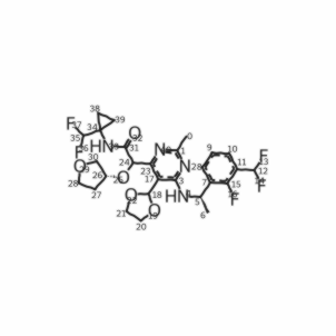 Cc1nc(N[C@H](C)c2cccc(C(F)F)c2F)c(C2OCCO2)c(C(O[C@@H]2CCOC2)C(=O)NC2(C(F)F)CC2)n1